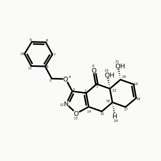 O=C1c2c(OCc3ccccc3)noc2C[C@@H]2CC=C[C@@H](O)[C@]12O